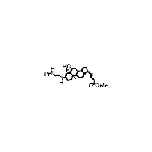 COC(=O)CC[C@@H](C)[C@H]1CCC2C3C[C@H](O)[C@@H]4CC(NCCNC(C)C)CC[C@]4(C)C3CC[C@@]21C